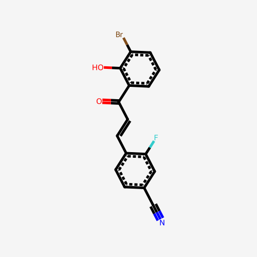 N#Cc1ccc(/C=C/C(=O)c2cccc(Br)c2O)c(F)c1